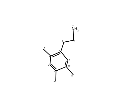 Cc1cc(C)c(CCN)cc1C